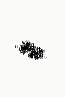 CC[C@H](C)[C@H](NC(=O)[C@@H](NC(=O)c1cccc(Cl)c1Cl)C(C)(C)C)C(=O)N[C@H](C(=O)N[C@H](C(=O)N[C@H](C(=O)N[C@@H](CCC(N)=O)C(=O)N[C@@H](Cc1c[nH]cn1)C(=O)N[C@H](CCC(C)C)C(=O)N[C@@H](CO)C(=O)NC)[C@@H](C)O)[C@@H](C)CC)C(C)(C)O